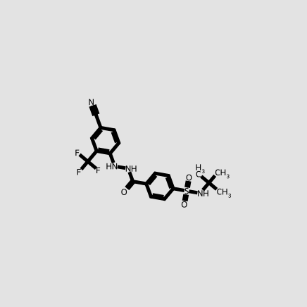 CC(C)(C)NS(=O)(=O)c1ccc(C(=O)NNc2ccc(C#N)cc2C(F)(F)F)cc1